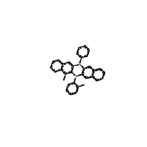 Cc1ccccc1N1c2cc3ccccc3cc2N(c2ccccc2)c2cc3ccccc3c(C)c21